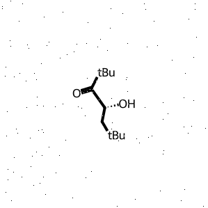 CC(C)(C)C[C@@H](O)C(=O)C(C)(C)C